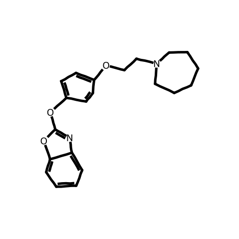 c1ccc2oc(Oc3ccc(OCCN4CCCCCC4)cc3)nc2c1